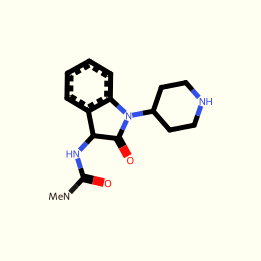 CNC(=O)NC1C(=O)N(C2CCNCC2)c2ccccc21